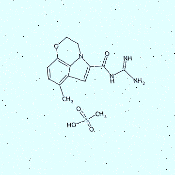 CS(=O)(=O)O.Cc1ccc2c3c1cc(C(=O)NC(=N)N)n3CCO2